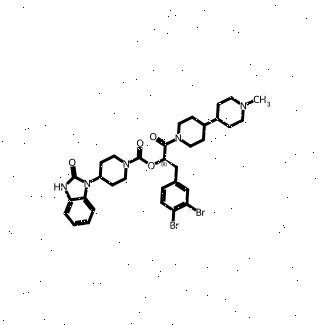 CN1CCC(C2CCN(C(=O)[C@@H](Cc3ccc(Br)c(Br)c3)OC(=O)N3CCC(n4c(=O)[nH]c5ccccc54)CC3)CC2)CC1